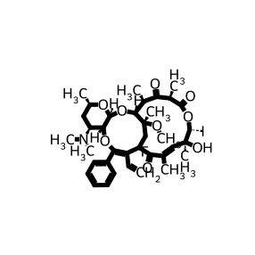 C=C/C1=C(\c2ccccc2)O[C@H]2[C@@H](O[C@H](C)C[C@@H]2N(C)C)O[C@@H]2[C@@H](C)C(=O)[C@@H](C)C(=O)O[C@H](I)[C@@](C)(O)/C=C(\C)C(=O)[C@@]1(F)C[C@@]2(C)OC